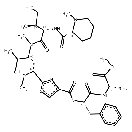 CC[C@H](C)[C@H](NC(=O)[C@H]1CCCCN1C)C(=O)N(C)[C@H](C[C@@H](OC)c1nc(C(=O)N[C@@H](Cc2ccccc2)C(=O)N[C@@H](C)C(=O)OC)cs1)C(C)C